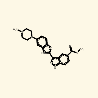 COC(=O)c1ccc2[nH]nc(-c3nc4ccc(N5CCN(C)CC5)cc4[nH]3)c2c1